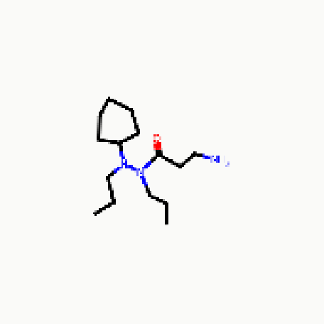 CCCN(C(=O)CCN)N(CCC)C1CCCCC1